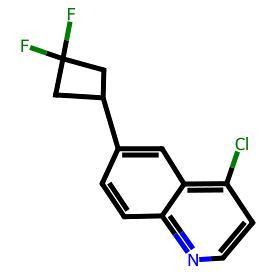 FC1(F)CC(c2ccc3nccc(Cl)c3c2)C1